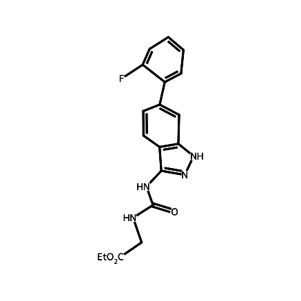 CCOC(=O)CNC(=O)Nc1n[nH]c2cc(-c3ccccc3F)ccc12